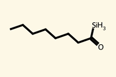 CCCCCCCC(=O)[SiH3]